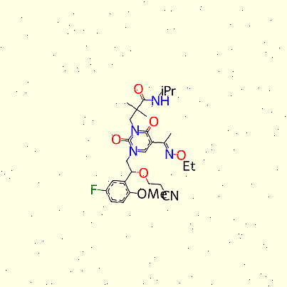 CCO/N=C(\C)c1cn(CC(OCCC#N)c2cc(F)ccc2OC)c(=O)n(CC(C)(C)C(=O)NC(C)C)c1=O